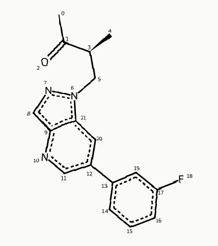 CC(=O)[C@@H](C)Cn1ncc2ncc(-c3cccc(F)c3)cc21